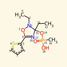 CCN1OC(c2cccs2)=NC1(CC)OP(C)(=O)O